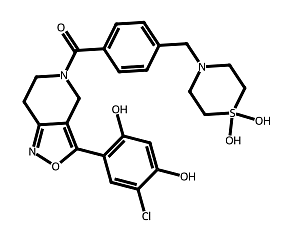 O=C(c1ccc(CN2CCS(O)(O)CC2)cc1)N1CCc2noc(-c3cc(Cl)c(O)cc3O)c2C1